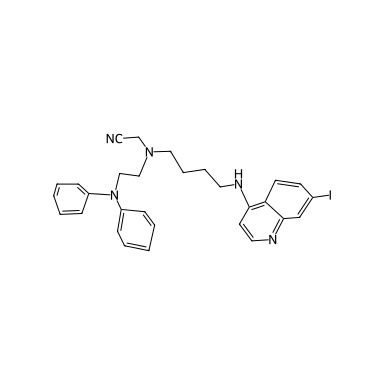 N#CCN(CCCCNc1ccnc2cc(I)ccc12)CCN(c1ccccc1)c1ccccc1